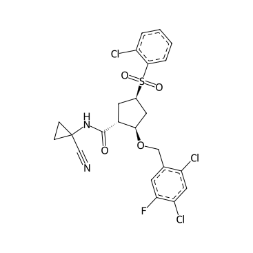 N#CC1(NC(=O)[C@@H]2C[C@@H](S(=O)(=O)c3ccccc3Cl)C[C@H]2OCc2cc(F)c(Cl)cc2Cl)CC1